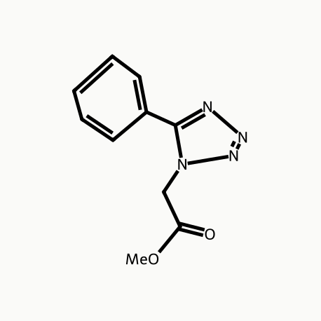 COC(=O)Cn1nnnc1-c1ccccc1